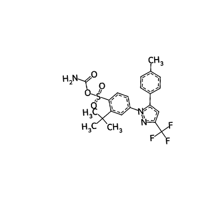 Cc1ccc(-c2cc(C(F)(F)F)nn2-c2ccc(S(=O)(=O)OC(N)=O)c(C(C)(C)C)c2)cc1